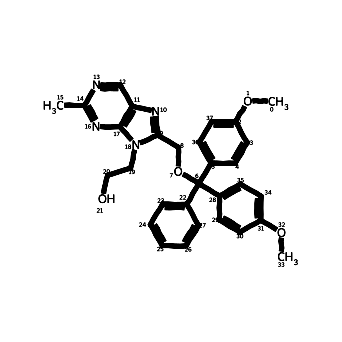 COc1ccc(C(OCc2nc3cnc(C)nc3n2CCO)(c2ccccc2)c2ccc(OC)cc2)cc1